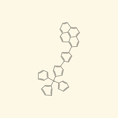 c1ccc([Si](c2ccccc2)(c2ccccc2)c2ccc(-c3ccc(-c4ccc5ccc6cccc7ccc4c5c67)cc3)cc2)cc1